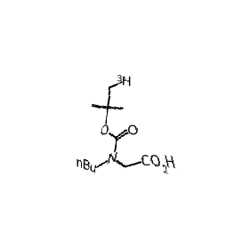 [3H]CC(C)(C)OC(=O)N(CCCC)CC(=O)O